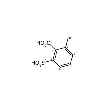 Cc1cccc(S(=O)(=O)O)c1C(=O)O